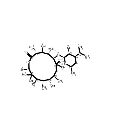 CC[C@H]1OC(=O)[C@H](C)[C@@H](O)[C@H](C)[C@@H](O[C@@H]2O[C@H](C)C[C@H](N(C)C)[C@H]2O)C(C)(O)C[C@@H](C)[C@H](O)[C@H](C)[C@@H](O)[C@]1(C)O